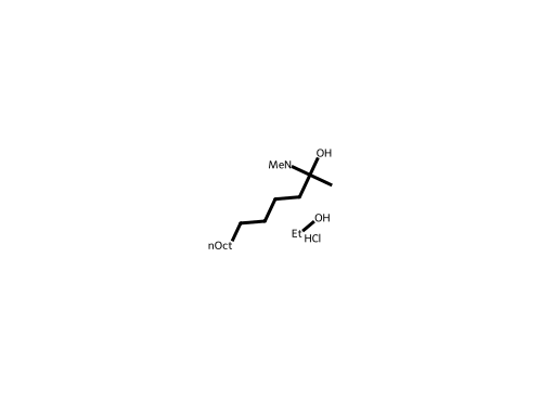 CCCCCCCCCCCCC(C)(O)NC.CCO.Cl